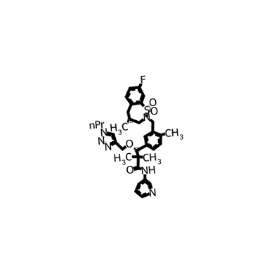 CCCn1cc(CO[C@H](c2ccc(C)c(CN3C[C@@H](C)Cc4ccc(F)cc4S3(=O)=O)c2)C(C)(C)C(=O)Nc2cccnc2)nn1